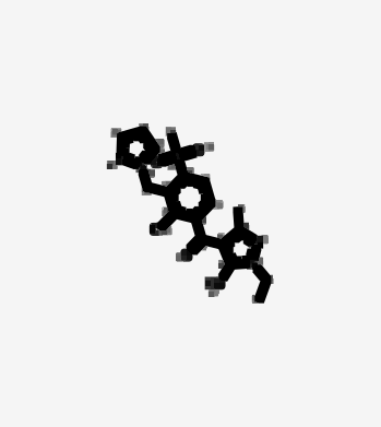 CCn1nc(C)c(C(=O)c2ccc(S(C)(=O)=O)c(Cn3cccn3)c2Cl)c1O